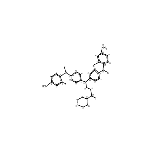 Cc1cc(N)ccc1C(C)c1ccc(C(CCC(C)C2CCCCC2)c2ccc(C(C)c3ccc(N)cc3C)cc2)cc1